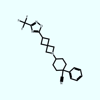 N#CC1(c2ccccc2)CCC(N2CC3(CC(c4nc(C(F)(F)F)no4)C3)C2)CC1